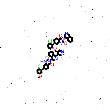 COc1ccc(Cl)c(-c2ccc3c(=O)n(-c4cnc(-c5cnncc5COc5cccc(Cl)c5-c5ccc6c(=O)n(-c7cncc8ccccc78)c(=O)[nH]c6c5)c5ccccc45)c(=O)[nH]c3c2)c1